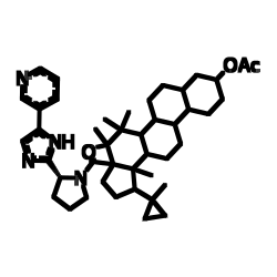 CC(=O)OC1CCC2C(CCC3C2CCC2C3C(C)(C)C(C)(C)C3(C(=O)N4CCC[C@H]4c4ncc(-c5cccnc5)[nH]4)CCC(C4(C)CC4)C23C)C1